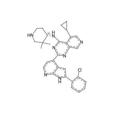 CC1(C)CNCC[C@@H]1Nc1nc(-c2ccnc3[nH]c(-c4ccccc4Cl)cc23)nc2cncc(C3CC3)c12